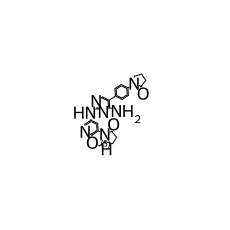 Nc1nc(Nc2cnc3c(c2)N2C(=O)CC[C@H]2CO3)ncc1-c1ccc(N2CCCC2=O)cc1